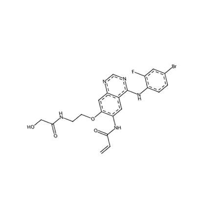 C=CC(=O)Nc1cc2c(Nc3ccc(Br)cc3F)ncnc2cc1OCCNC(=O)CO